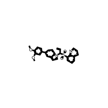 C=CC(n1ccc2cc(-c3ccc(OC)c(OC)c3)ccc21)S(=O)(=O)c1cccc2cccnc12